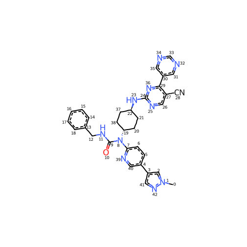 Cn1cc(-c2ccc(N(C(=O)NCc3ccccc3)[C@H]3CC[C@H](Nc4ncc(C#N)c(-c5cncnc5)n4)CC3)nc2)cn1